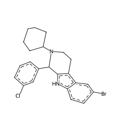 Clc1cccc(C2c3[nH]c4ccc(Br)cc4c3CCN2C2CCCCC2)c1